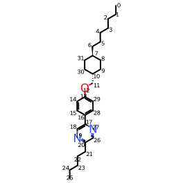 CCCCCCC[C@H]1CC[C@H](COc2ccc(-c3cnc(CCCCC)cn3)cc2)CC1